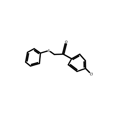 O=C(CSc1ccccc1)c1ccc(Cl)cc1